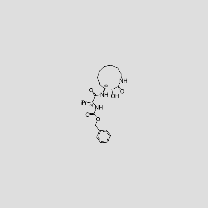 CC(C)[C@H](NC(=O)OCc1ccccc1)C(=O)N[C@H]1CCCCCCCNC(=O)C1O